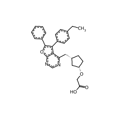 CCc1ccc(-c2c(-c3ccccc3)oc3ncnc(C[C@@H]4CC[C@H](OCC(=O)O)C4)c23)cc1